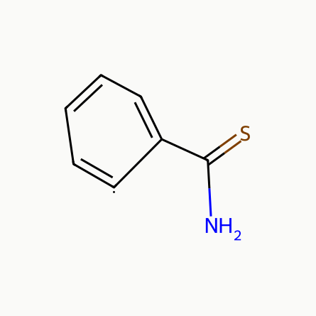 NC(=S)c1[c]cccc1